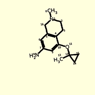 CN1CCc2c(cc(N)cc2OC2(C)CC2)C1